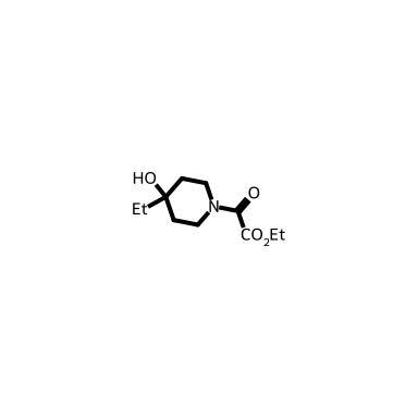 CCOC(=O)C(=O)N1CCC(O)(CC)CC1